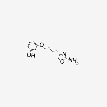 NC1=N[C@@H](CCCCOc2cccc(O)c2)CO1